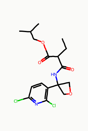 CCC(C(=O)NC1(c2ccc(Cl)nc2Cl)COC1)C(=O)OCC(C)C